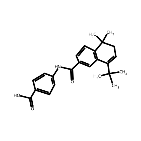 CC(C)(C)C1=CCC(C)(C)c2ccc(C(=O)Nc3ccc(C(=O)O)cc3)cc21